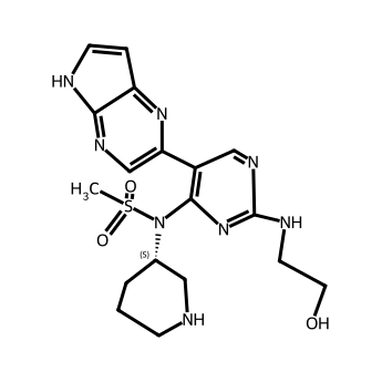 CS(=O)(=O)N(c1nc(NCCO)ncc1-c1cnc2[nH]ccc2n1)[C@H]1CCCNC1